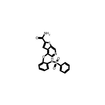 NC(=O)c1cc2c(Oc3ccccc3NS(=O)(=O)c3ccccc3)cncc2s1